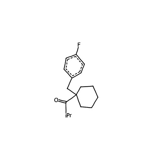 CC(C)C(=O)C1(Cc2ccc(F)cc2)CCCCC1